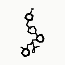 CC(=O)N(Cc1ccccc1C)Cc1ccccc1C1CCN(Cc2ccc(F)cc2)CC1